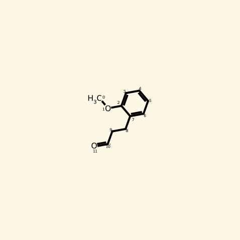 COc1ccccc1CC[C]=O